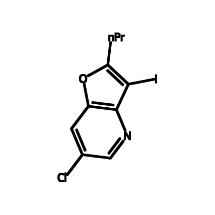 CCCc1oc2cc(Cl)cnc2c1I